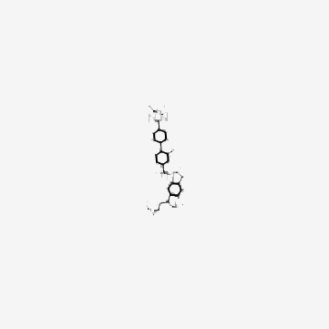 Cc1nc(-c2ccc(-c3ccc(C(=O)N4CCc5cc6c(cc54)C(CCN(C)C)CO6)cc3C)cc2)no1